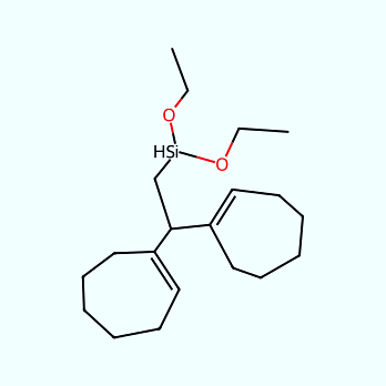 CCO[SiH](CC(C1=CCCCCC1)C1=CCCCCC1)OCC